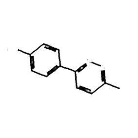 Cc1ccc(-c2ccc(C(F)(F)F)cc2)nn1